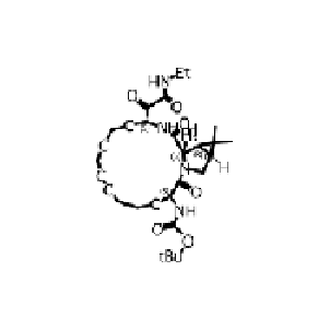 CCNC(=O)C(=O)[C@@H]1CCCCCCCCC[C@H](NC(=O)OC(C)(C)C)C(=O)N2C[C@H]3[C@@H]([C@H]2C(=O)N1)C3(C)C